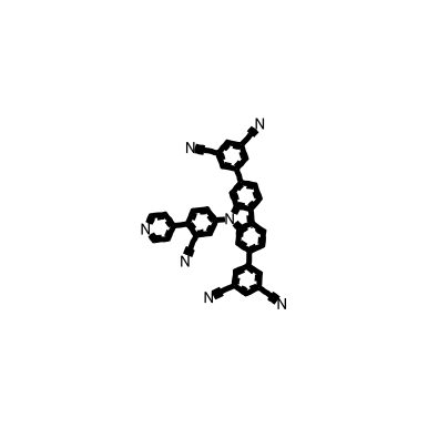 N#Cc1cc(C#N)cc(-c2ccc3c4ccc(-c5cc(C#N)cc(C#N)c5)cc4n(-c4ccc(-c5ccncc5)c(C#N)c4)c3c2)c1